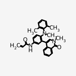 C=CC(=O)Nc1ccc(N(C)c2c(C)cccc2C)c(-c2cn(C)c(=O)c3ccccc23)c1